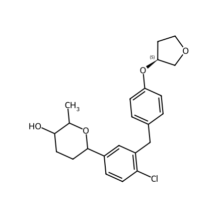 CC1OC(c2ccc(Cl)c(Cc3ccc(O[C@H]4CCOC4)cc3)c2)CCC1O